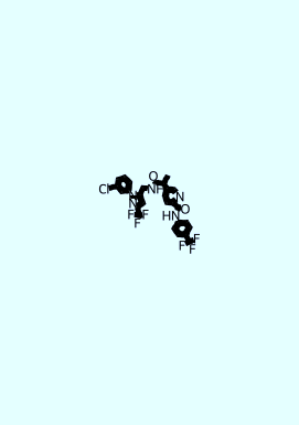 CC(C(=O)NCc1cc(C(F)(F)F)nn1-c1cccc(Cl)c1)c1ccc(C(=O)Nc2ccc(C(F)(F)F)cc2)nc1